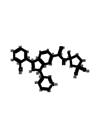 CC1(NC(=O)c2ccc3c(-c4ccccc4Cl)nn(-c4cccnc4)c3c2)CCS(=O)(=O)C1